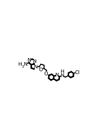 Nc1ncnc2c1ccn2C1CCC(COc2ccc3ccc(NCc4ccc(Cl)cc4)nc3c2)O1